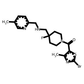 Cc1ccc(CNCC2(F)CCN(C(=O)c3sc(Br)nc3C)CC2)nc1